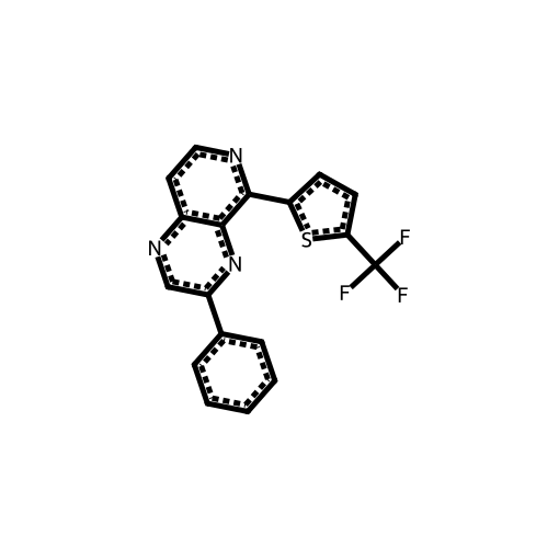 FC(F)(F)c1ccc(-c2nccc3ncc(-c4ccccc4)nc23)s1